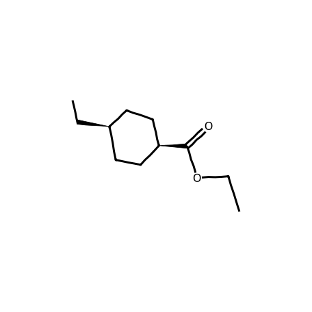 CCOC(=O)[C@H]1CC[C@@H](CC)CC1